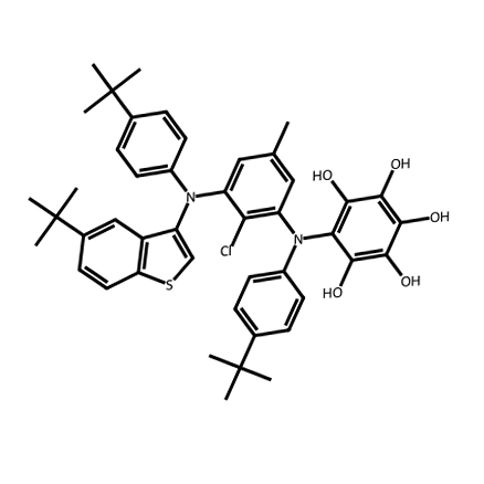 Cc1cc(N(c2ccc(C(C)(C)C)cc2)c2c(O)c(O)c(O)c(O)c2O)c(Cl)c(N(c2ccc(C(C)(C)C)cc2)c2csc3ccc(C(C)(C)C)cc23)c1